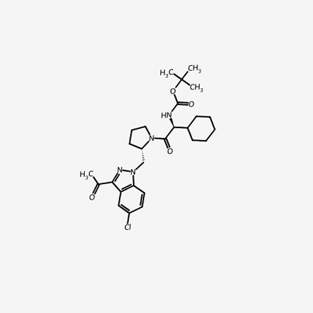 CC(=O)c1nn(C[C@@H]2CCCN2C(=O)[C@@H](NC(=O)OC(C)(C)C)C2CCCCC2)c2ccc(Cl)cc12